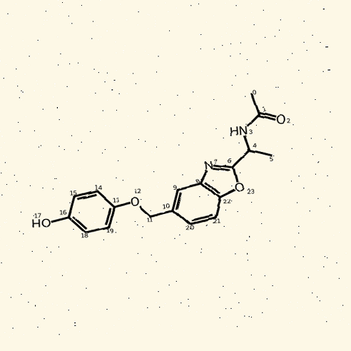 CC(=O)NC(C)c1nc2cc(COc3ccc(O)cc3)ccc2o1